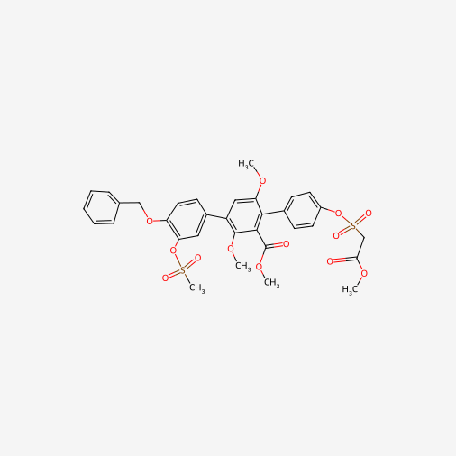 COC(=O)CS(=O)(=O)Oc1ccc(-c2c(OC)cc(-c3ccc(OCc4ccccc4)c(OS(C)(=O)=O)c3)c(OC)c2C(=O)OC)cc1